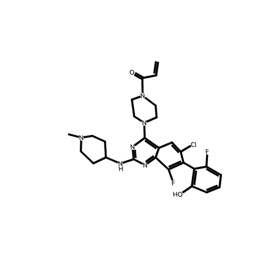 C=CC(=O)N1CCN(c2nc(NC3CCN(C)CC3)nc3c(F)c(-c4c(O)cccc4F)c(Cl)cc23)CC1